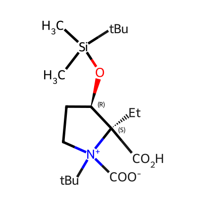 CC[C@@]1(C(=O)O)[C@H](O[Si](C)(C)C(C)(C)C)CC[N+]1(C(=O)[O-])C(C)(C)C